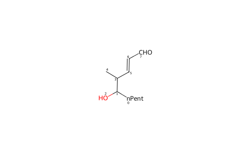 CCCCCC(O)C(C)C=CC=O